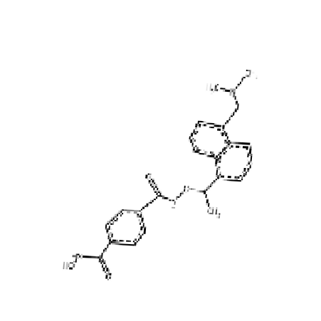 CC(ONC(=O)c1ccc(C(=O)NO)cc1)c1cccc2c(CN(C)C)cccc12